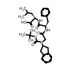 CC(C)C[C@@H](NC(=O)[C@@H](Cc1ccccc1)NC(=O)CN(C(=O)OC(C)(C)C)C1Cc2ccccc2C1)C(=O)O